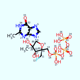 Cc1nc2c(ncn2[C@@H]2O[C@](CF)(COP(=O)(O)OP(=O)(O)OP(=O)(O)O)[C@@H](O)[C@@]2(C)O)c(=O)[nH]1